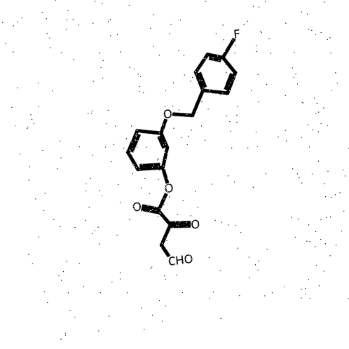 O=CCC(=O)C(=O)Oc1cccc(OCc2ccc(F)cc2)c1